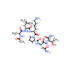 CC(=O)N[C@@H](C)C(=O)N[C@@H](CC(C)C)C(=O)N[C@@H](CCCCN)C(=O)N1CCC[C@H]1C(=O)N[C@@H](CC(N)=O)C(=O)N[C@H](C(N)=O)[C@@H](C)O